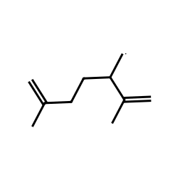 [CH2]C(CCC(=C)C)C(=C)C